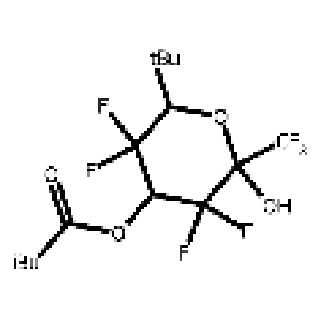 CCC(C)C(=O)OC1C(F)(F)C(C(C)(C)C)OC(O)(C(F)(F)F)C1(F)F